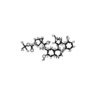 COc1cc2ncnc(-c3cn(C)nc3-c3c(F)cccc3F)c2cc1NC(=O)C12CC1CN(C(=O)OC(C)(C)C)C2